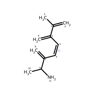 C=C(C)C(=C)/C=C\C(=C)C(C)N